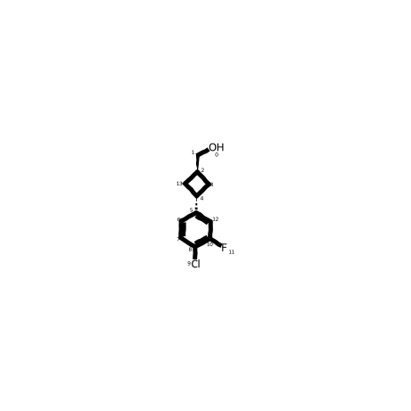 OC[C@H]1C[C@H](c2ccc(Cl)c(F)c2)C1